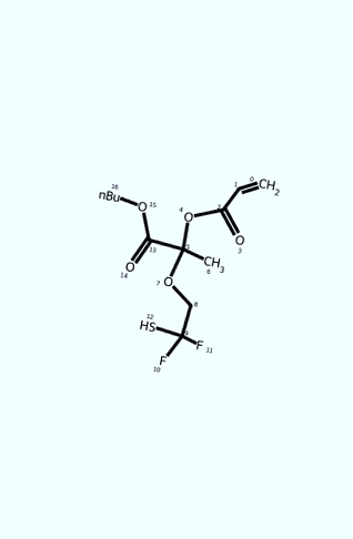 C=CC(=O)OC(C)(OCC(F)(F)S)C(=O)OCCCC